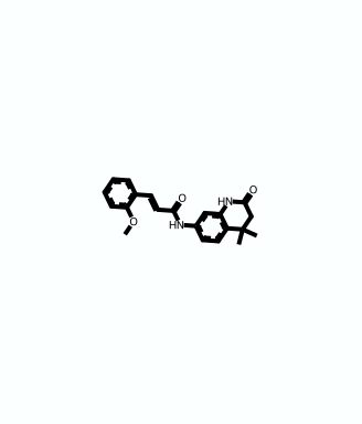 COc1ccccc1C=CC(=O)Nc1ccc2c(c1)NC(=O)CC2(C)C